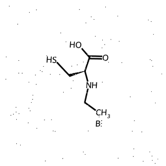 CCN[C@@H](CS)C(=O)O.[B]